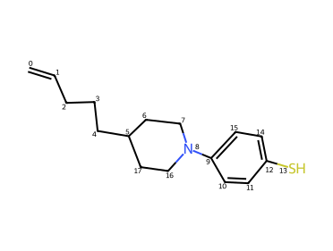 C=CCCCC1CCN(c2ccc(S)cc2)CC1